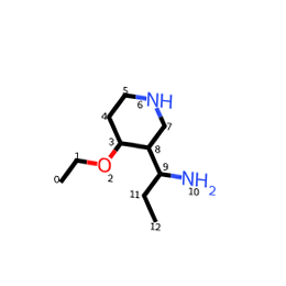 CCOC1CCNCC1C(N)CC